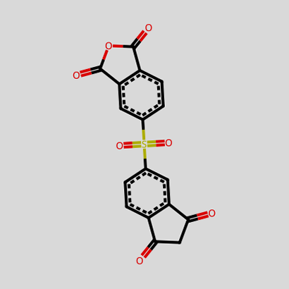 O=C1CC(=O)c2cc(S(=O)(=O)c3ccc4c(c3)C(=O)OC4=O)ccc21